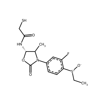 CC[S+]([O-])c1ccc(N2C(=O)O[C@H](NC(=O)CS)C2C)cc1F